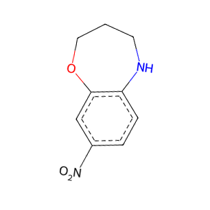 O=[N+]([O-])c1ccc2c(c1)OCCCN2